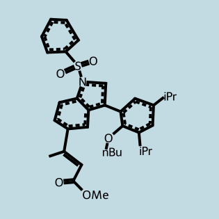 CCCCOc1c(-c2cn(S(=O)(=O)c3ccccc3)c3ccc(C(C)=CC(=O)OC)cc23)cc(C(C)C)cc1C(C)C